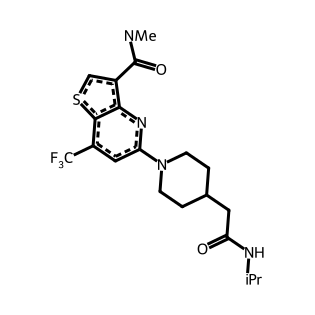 CNC(=O)c1csc2c(C(F)(F)F)cc(N3CCC(CC(=O)NC(C)C)CC3)nc12